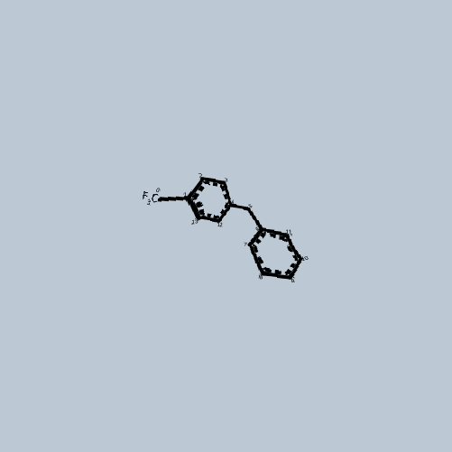 FC(F)(F)c1ccc(Cc2cc[c]cc2)cc1